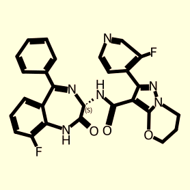 O=C(N[C@H]1N=C(c2ccccc2)c2cccc(F)c2NC1=O)c1c(-c2ccncc2F)nn2c1OCCC2